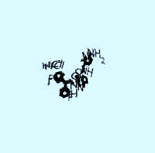 Cc1nc(N)ccc1CNC(=O)[C@@H]1CCc2cnc(NCC(c3cccc(F)c3)c3cccc(F)c3)c(=O)n21.Cl.Cl